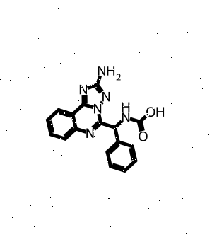 Nc1nc2c3ccccc3nc(C(NC(=O)O)c3ccccc3)n2n1